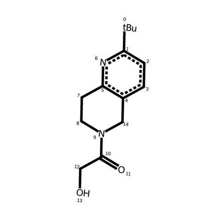 CC(C)(C)c1ccc2c(n1)CCN(C(=O)CO)C2